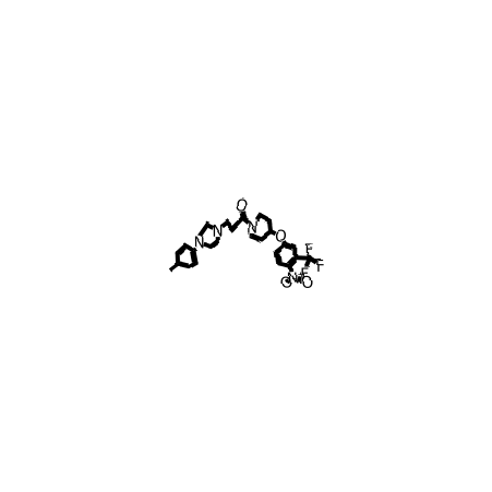 Cc1ccc(N2CCN(CCC(=O)N3CCC(Oc4ccc([N+](=O)[O-])c(C(F)(F)F)c4)CC3)CC2)cc1